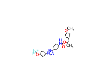 COc1ccc(CC(C)OC(=O)Nc2ccc(-c3ncn(-c4ccc(OC(F)(F)F)cc4)n3)cc2)cc1